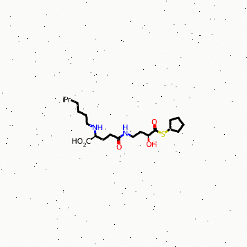 CC(C)CCCCN[C@@H](CCC(=O)NCC[C@H](O)C(=O)SC1CCCC1)C(=O)O